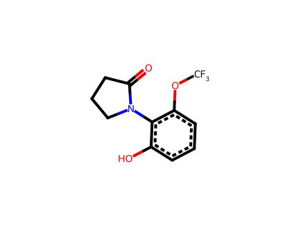 O=C1CCCN1c1c(O)cccc1OC(F)(F)F